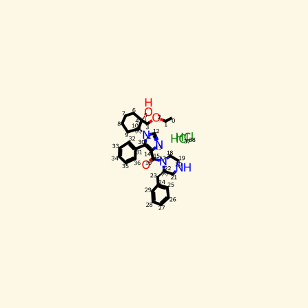 CCOC[C@]1(O)CCCC[C@H]1n1cnc(C(=O)N2CCNC[C@H]2Cc2ccccc2)c1-c1ccccc1.Cl.Cl